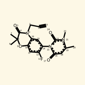 C#CCN1C(=O)C(C)(C)Oc2cc(F)c(-n3c(=O)cc(C)n(C)c3=O)cc21